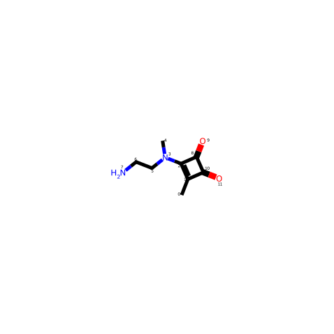 Cc1c(N(C)CCN)c(=O)c1=O